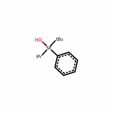 C[CH](C)[Sn]([OH])([c]1ccccc1)[C](C)(C)C